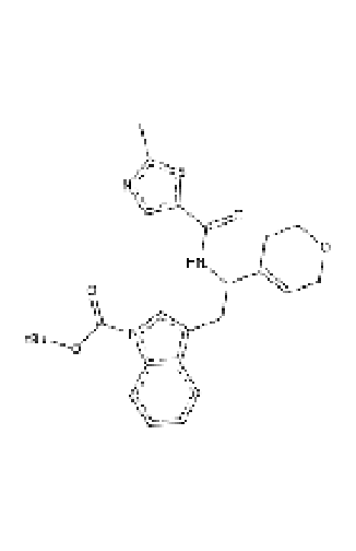 Cc1ncc(C(=O)NC(Cc2cn(C(=O)OC(C)(C)C)c3ccccc23)C2=CCOCC2)s1